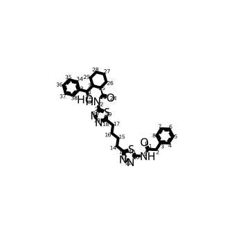 O=C(Cc1ccccc1)Nc1nnc(CCCCc2nnc(NC(=O)[C@@H]3CCCCC3C(O)c3ccccc3)s2)s1